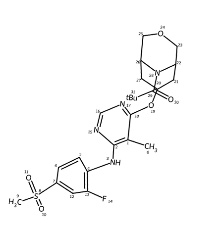 Cc1c(Nc2ccc(S(C)(=O)=O)cc2F)ncnc1OC1CC2COCC(C1)N2C(=O)C(C)(C)C